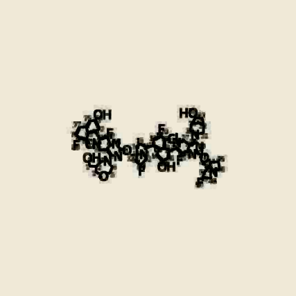 OCC1COCCN(c2nc(OC[C@@]34CCC(c5cc(F)c(Cl)c6c(-c7ncc8c(N9CC%10CC(O)C(C%10)C9)nc(OC[C@@]9%10CCCN9C[C@H](F)C%10)nc8c7F)cc(O)cc56)N3C[C@H](F)C4)nc3c(F)c(-c4cc(O)cc5ccc(F)c(Cl)c45)ncc23)C1